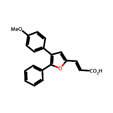 COc1ccc(-c2cc(/C=C/C(=O)O)oc2-c2ccccc2)cc1